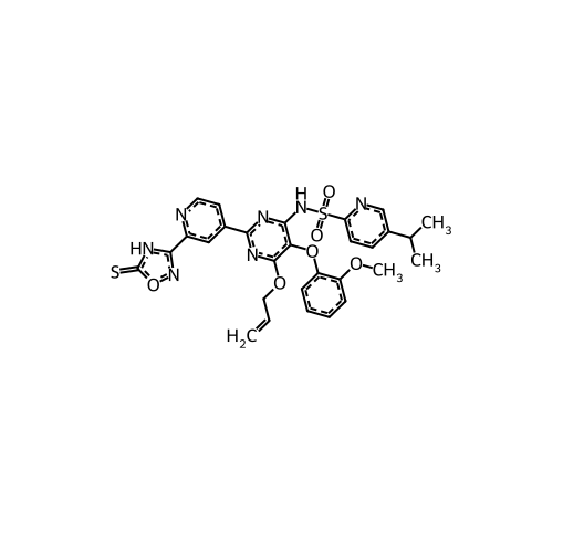 C=CCOc1nc(-c2ccnc(-c3noc(=S)[nH]3)c2)nc(NS(=O)(=O)c2ccc(C(C)C)cn2)c1Oc1ccccc1OC